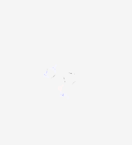 NOc1ccc(Cl)cc1-c1cncn1C1CCCCC1